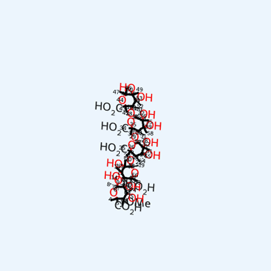 CO[C@]1(C)C(C)(C(=O)O)O[C@@](C)(O[C@@]2(C)C(C)(O)C(C)(O)[C@](C)(O[C@]3(C)C(C)(C(=O)O)O[C@@](C)(O[C@]4(C)C(C)(C(=O)O)O[C@@](C)(O[C@]5(C)C(C)(C(=O)O)OC(C)(C)C(C)(O)[C@]5(C)O)C(C)(O)C4(C)O)C(C)(O)[C@@]3(C)O)O[C@@]2(C)C(=O)O)C(C)(O)[C@]1(C)O